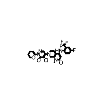 Cn1c2c(c(Nc3ccc(F)cc3C(F)(F)F)cc1=O)CCN(c1cnn(C3=CCCCO3)c(=O)c1Cl)C2